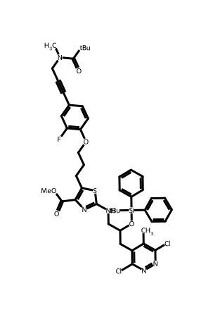 COC(=O)c1nc(NCC(Cc2c(Cl)nnc(Cl)c2C)O[Si](c2ccccc2)(c2ccccc2)C(C)(C)C)sc1CCCOc1ccc(C#CCN(C)C(=O)C(C)(C)C)cc1F